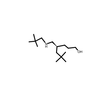 CC(C)(C)CNC[C@@H](CCCO)CC(C)(C)C